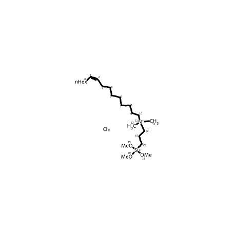 CCCCCC/C=C\CCCCCCCC[N+](C)(C)CCC[Si](OC)(OC)OC.[Cl-]